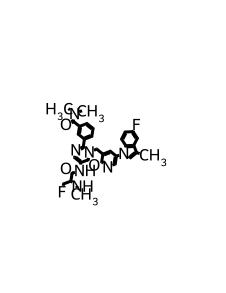 CNC(CF)C(=O)Nc1cnc(-c2cccc(C(=O)N(C)C)c2)n(Cc2cncc(-n3cc(C)c4cc(F)ccc43)c2)c1=O